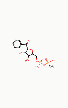 CP(=O)(O)OP(=O)(O)OCC1OC(C(=O)c2ccccc2)C(O)C1O